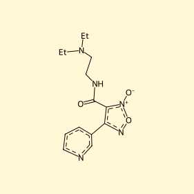 CCN(CC)CCNC(=O)c1c(-c2cccnc2)no[n+]1[O-]